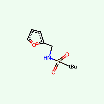 CC(C)(C)S(=O)(=O)NCc1ccco1